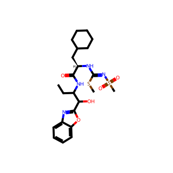 CCC(NC(=O)[C@@H](CC1CCCCC1)NC(=NS(C)(=O)=O)SC)C(O)c1nc2ccccc2o1